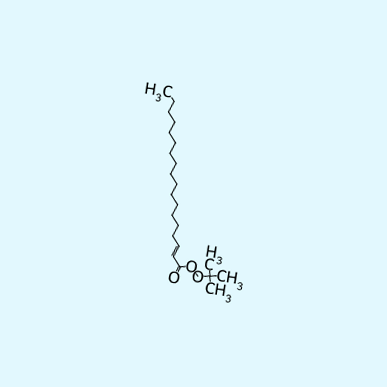 CCCCCCCCCCCCCCCC=CC(=O)OOC(C)(C)C